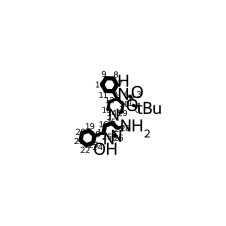 CC(C)(C)OC(=O)NC1(c2ccccc2)CCN(c2cc(-c3ccccc3O)nnc2N)CC1